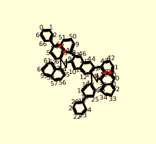 c1ccc(-c2ccc(N(c3cc4cc(N(c5ccc(-c6ccccc6)cc5)c5cccc6ccccc56)c(-c5ccccc5)cc4cc3-c3ccccc3)c3cccc4ccccc34)cc2)cc1